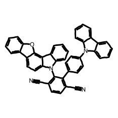 N#Cc1ccc(C#N)c(-n2c3ccccc3c3c4oc5ccccc5c4ccc32)c1-c1ccc(-n2c3ccccc3c3ccccc32)cc1